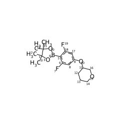 CC1(C)OB(c2c(F)cc(OC3CCCOC3)cc2F)OC1(C)C